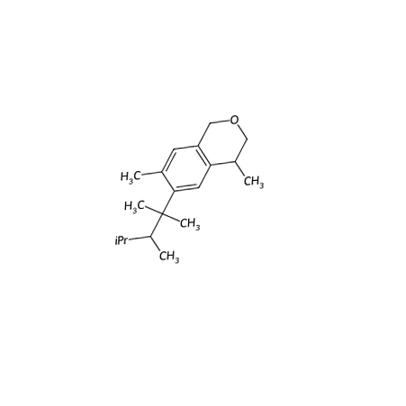 Cc1cc2c(cc1C(C)(C)C(C)C(C)C)C(C)COC2